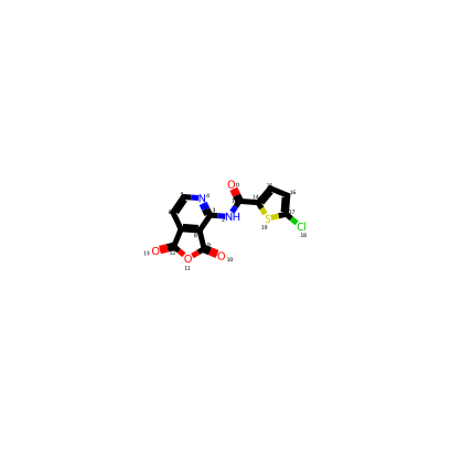 O=C(Nc1nccc2c1C(=O)OC2=O)c1ccc(Cl)s1